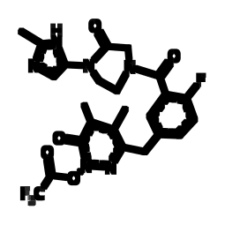 Cc1ncc(N2CCN(C(=O)c3cc(Cc4nn(OC(=O)C(F)(F)F)c(=O)c(C)c4C)ccc3F)CC2=O)[nH]1